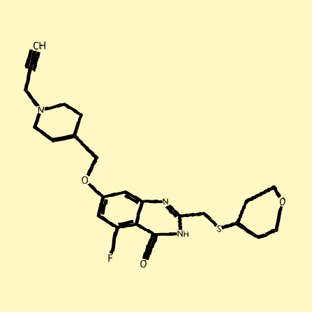 C#CCN1CCC(COc2cc(F)c3c(=O)[nH]c(CSC4CCOCC4)nc3c2)CC1